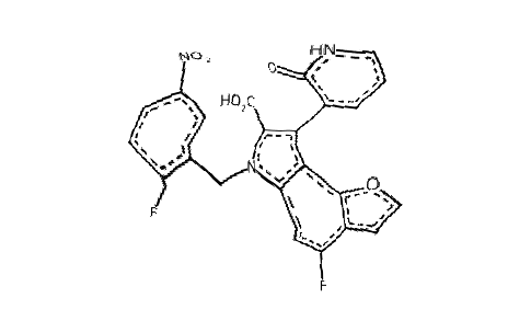 O=C(O)c1c(-c2ccc[nH]c2=O)c2c3occc3c(F)cc2n1Cc1cc([N+](=O)[O-])ccc1F